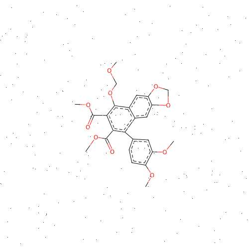 COCOc1c(C(=O)OC)c(C(=O)OC)c(-c2ccc(OC)c(OC)c2)c2cc3c(cc12)OCO3